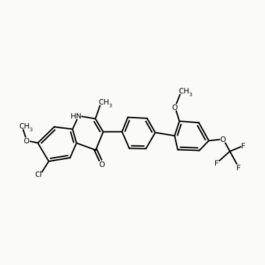 COc1cc2[nH]c(C)c(-c3ccc(-c4ccc(OC(F)(F)F)cc4OC)cc3)c(=O)c2cc1Cl